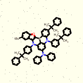 CC(C)(C)c1ccc2oc3c(c2c1)N(c1ccc(C(C)(C)c2ccccc2)cc1)c1cc(N(c2ccccc2)c2ccccc2)cc2c1B3c1ccc(C(C)(C)c3ccccc3)cc1N2c1cccc(C(C)(C)c2ccccc2)c1